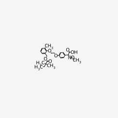 CCC(C)(C)C(=O)OCc1cccc(C)c1OCCOc1ccc(/C(=N/OC)C(=O)O)cc1